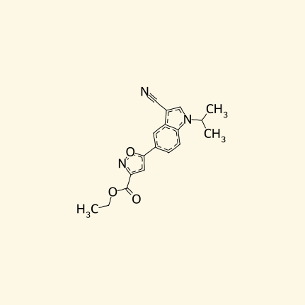 CCOC(=O)c1cc(-c2ccc3c(c2)c(C#N)cn3C(C)C)on1